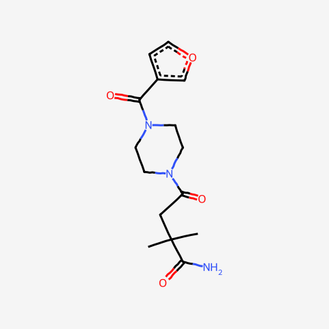 CC(C)(CC(=O)N1CCN(C(=O)c2ccoc2)CC1)C(N)=O